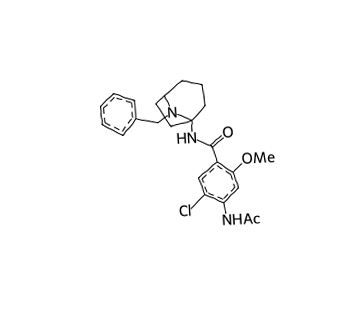 COc1cc(NC(C)=O)c(Cl)cc1C(=O)NC12CCCC(CC1)N2Cc1ccccc1